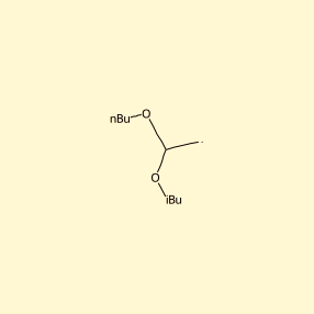 [CH2]C(OCCCC)OC(C)CC